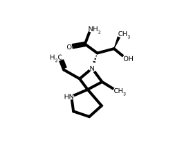 C=CC1N([C@H](C(N)=O)[C@@H](C)O)C(C)C12CCCN2